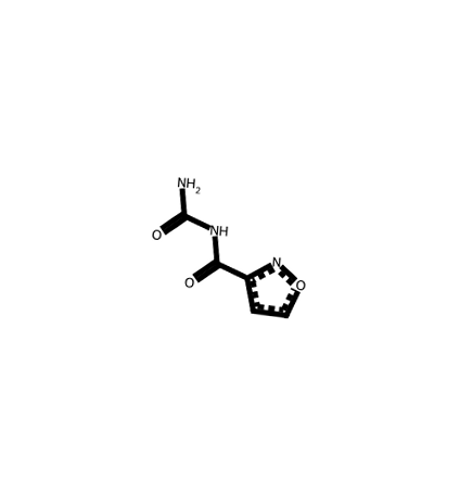 NC(=O)NC(=O)c1ccon1